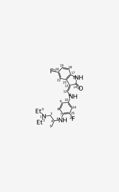 CCN(CC)CC(C)Nc1ccc(NC=C2C(=O)Nc3ccc(F)cc32)cc1F